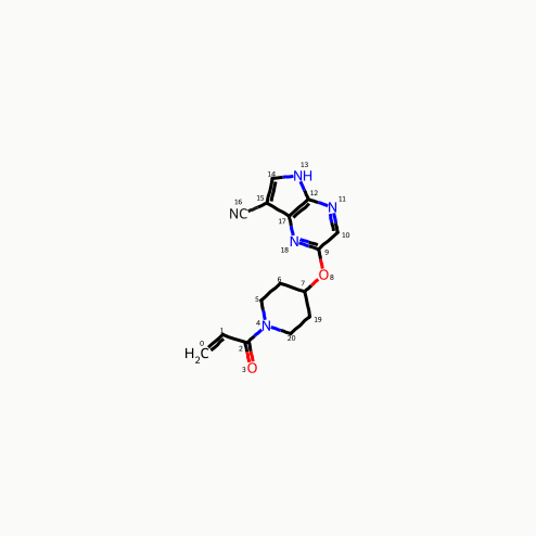 C=CC(=O)N1CCC(Oc2cnc3[nH]cc(C#N)c3n2)CC1